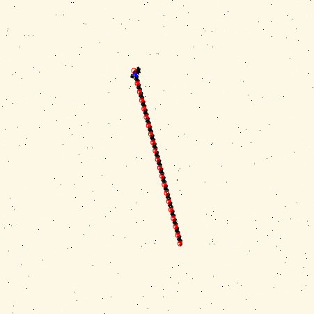 CCC(C)C(=O)N(CC)CCCOCCCOCCCOCCCOCCCOCCCOCCCOCCCOCCCOCCCOCCCOCCCOCCCOCCCOCCCOCCCOCCCOCCCOCCCOCCCOC